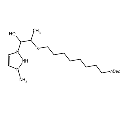 CCCCCCCCCCCCCCCCCCSC(C)C(O)N1C=CN(N)N1